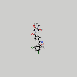 O=C(c1ccc(C2=NOC(c3cc(Cl)cc(Cl)c3)(C(F)(F)F)C2)cc1)N1CC(=O)N(CC(F)(F)F)C(=O)C1